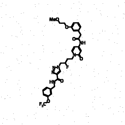 COCCOc1cccc(CC(=O)Nc2ccn(CCC(F)Cn3cc(C(=O)NCc4cccc(OC(F)(F)F)c4)nn3)c(=O)c2)c1